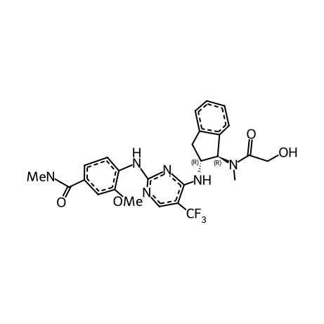 CNC(=O)c1ccc(Nc2ncc(C(F)(F)F)c(N[C@@H]3Cc4ccccc4[C@H]3N(C)C(=O)CO)n2)c(OC)c1